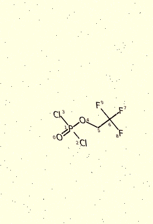 O=P(Cl)(Cl)OCC(F)(F)F